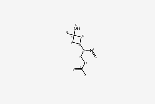 C=NN(CCC(=C)C)C1CC(C)(O)C1